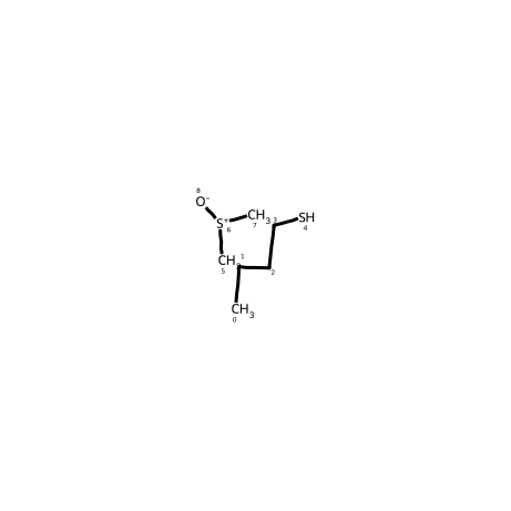 CCCCS.C[S+](C)[O-]